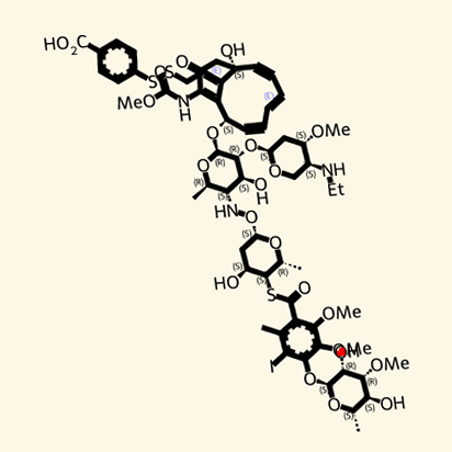 CCN[C@H]1CO[C@@H](O[C@H]2[C@H](O[C@H]3C#C/C=C/C#C[C@]4(O)CC(=O)C(NC(=O)OC)=C3/C4=C\CSSc3ccc(C(=O)O)cc3)O[C@H](C)[C@@H](NO[C@H]3C[C@H](O)[C@H](SC(=O)c4c(C)c(I)c(O[C@@H]5O[C@@H](C)[C@H](O)[C@@H](OC)[C@H]5O)c(OC)c4OC)[C@@H](C)O3)[C@@H]2O)C[C@@H]1OC